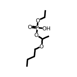 CCCCOC(C)OP(=O)(O)OCC